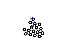 c1ccc(-c2cc(-c3ccc(-c4c(-c5ccccc5)cc(-c5cccnc5)c(-c5ccccc5)c4-c4ccc(-c5cc(-c6ccccc6)c(-c6ccccc6)c(-c6ccccc6)c5-c5ccccc5)cc4)cc3)c(-c3ccccc3)c(-c3ccccc3)c2-c2ccccc2)cc1